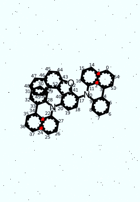 c1ccc(-c2ccccc2N(c2ccccc2)c2ccc(N(c3ccccc3)c3ccccc3-c3ccccc3)c3c2oc2ccc4ccccc4c23)cc1